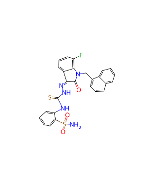 NS(=O)(=O)c1ccccc1NC(=S)NN=C1C(=O)N(Cc2cccc3ccccc23)c2c(F)cccc21